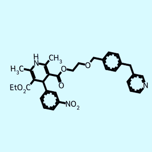 CCOC(=O)C1=C(C)NC(C)=C(C(=O)OCCOCc2ccc(Cc3cccnc3)cc2)C1c1cccc([N+](=O)[O-])c1